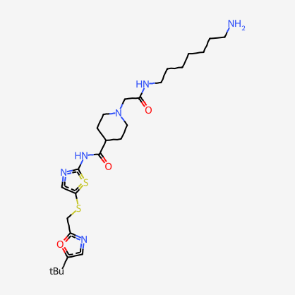 CC(C)(C)c1cnc(CSc2cnc(NC(=O)C3CCN(CC(=O)NCCCCCCCN)CC3)s2)o1